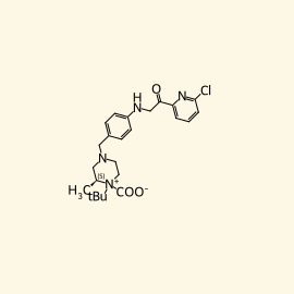 C[C@H]1CN(Cc2ccc(NCC(=O)c3cccc(Cl)n3)cc2)CC[N+]1(C(=O)[O-])C(C)(C)C